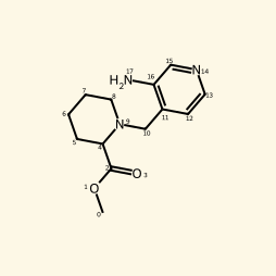 COC(=O)C1CCCCN1Cc1ccncc1N